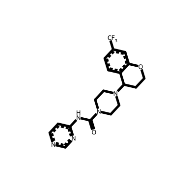 O=C(Nc1ccncn1)N1CCN(C2CCOc3cc(C(F)(F)F)ccc32)CC1